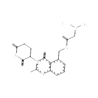 Cc1nc2cccc(CNC(=O)CN(C)C)c2c(=O)n1C1CCC(=O)NC1=O